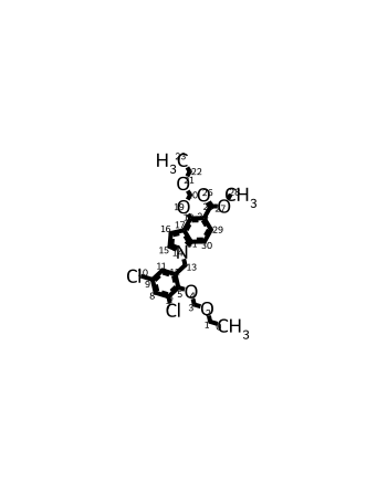 CCOCOc1c(Cl)cc(Cl)cc1Cn1ccc2c(OCOCC)c(C(=O)OC)ccc21